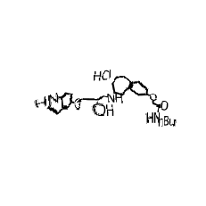 CCCCNC(=O)COc1ccc2c(c1)CC(NC[C@H](O)COc1ccc3[nH]ccc3c1)CCC2.Cl